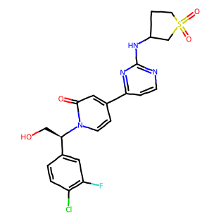 O=c1cc(-c2ccnc(NC3CCS(=O)(=O)C3)n2)ccn1[C@H](CO)c1ccc(Cl)c(F)c1